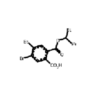 CCc1cc(C(=O)OC(CC)C(C)C)c(C(=O)O)cc1Br